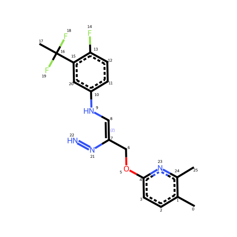 Cc1ccc(OC/C(=C/Nc2ccc(F)c(C(C)(F)F)c2)N=N)nc1C